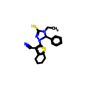 CCN1C(S)=NN(c2sc3c(c2C#N)CCCC3)C1c1ccccc1